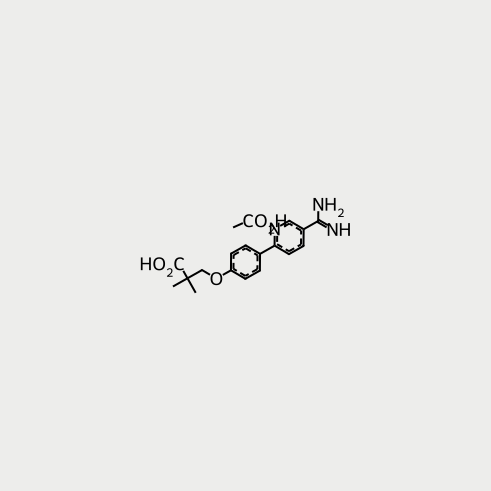 CC(=O)O.CC(C)(COc1ccc(-c2ccc(C(=N)N)cn2)cc1)C(=O)O